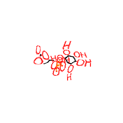 O=C1OCC(COP(=O)(O)OC2C(O)C(O)C(O)C(O)C2O)O1